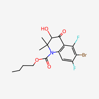 CCCCOC(=O)N1c2cc(F)c(Br)c(F)c2C(=O)C(O)C1(C)C